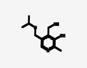 Cc1ncc(COC(C)C)c(CO)c1O